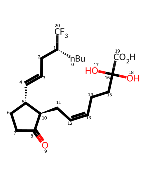 CCCC[C@H](C/C=C/[C@H]1CCC(=O)[C@@H]1C/C=C\CCC(O)(O)C(=O)O)C(F)(F)F